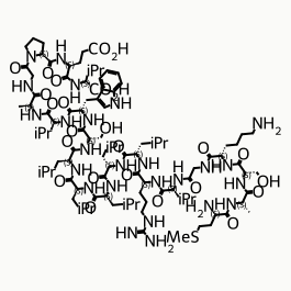 CSCC[C@H](N)C(=O)N[C@@H](C)C(=O)N[C@@H](CO)C(=O)N[C@@H](CCCCN)C(=O)NCC(=O)N[C@H](C(=O)N[C@@H](CCCNC(=N)N)C(=O)N[C@@H](CC(C)C)C(=O)N[C@@H](CC(C)C)C(=O)N[C@@H](CC(C)C)C(=O)N[C@@H](CC(C)C)C(=O)N[C@@H](CC(C)C)C(=O)N[C@@H](CO)C(=O)N[C@@H](Cc1c[nH]c2ccccc12)C(=O)N[C@H](C(=O)N[C@@H](C)C(=O)NCC(=O)N1CCC[C@H]1C(=O)N[C@@H](CCC(=O)O)C(=O)N[C@H](C(=O)O)C(C)C)C(C)C)C(C)C